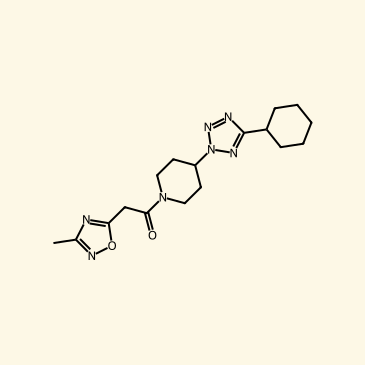 Cc1noc(CC(=O)N2CCC(n3nnc(C4CCCCC4)n3)CC2)n1